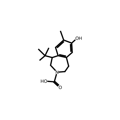 Cc1cc2c(cc1O)CCN(C(=O)O)CC2C(C)(C)C